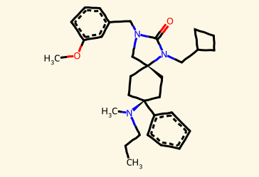 CCCN(C)[C@]1(c2ccccc2)CC[C@@]2(CC1)CN(Cc1cccc(OC)c1)C(=O)N2CC1CCC1